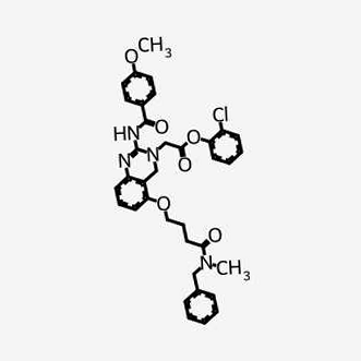 COc1ccc(C(=O)NC2=Nc3cccc(OCCCC(=O)N(C)Cc4ccccc4)c3CN2CC(=O)Oc2ccccc2Cl)cc1